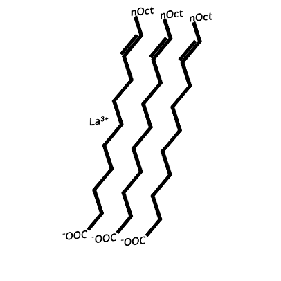 CCCCCCCCC=CCCCCCCCC(=O)[O-].CCCCCCCCC=CCCCCCCCC(=O)[O-].CCCCCCCCC=CCCCCCCCC(=O)[O-].[La+3]